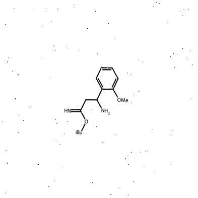 CCC(C)OC(=N)CC(N)c1ccccc1OC